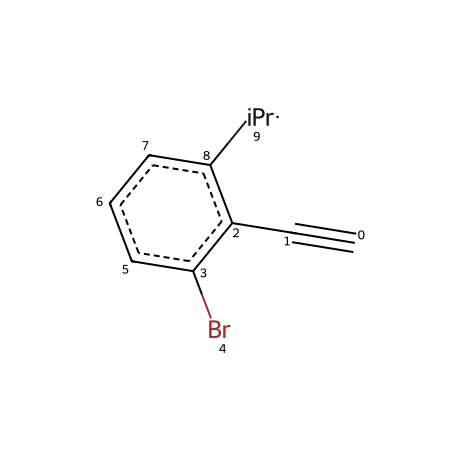 C#Cc1c(Br)cccc1[C](C)C